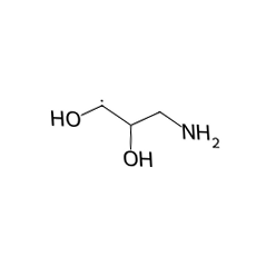 NCC(O)[CH]O